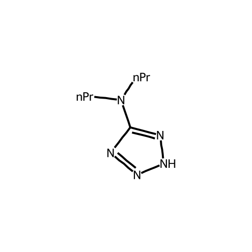 CCCN(CCC)c1nn[nH]n1